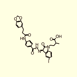 CC(CCN1C(=O)C(=NNC(=O)c2ccc(NC(=O)CCc3ccc4c(c3)OCO4)cc2)c2cc(I)ccc21)C(=O)O